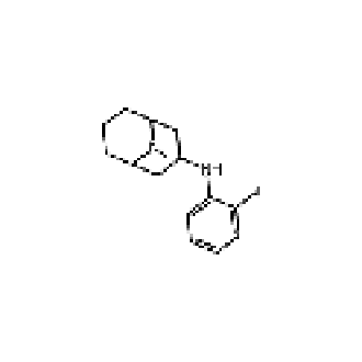 CN1C2CCCC1CC(Nc1ccccc1I)C2